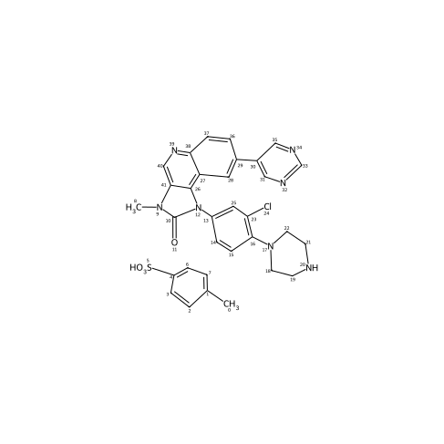 Cc1ccc(S(=O)(=O)O)cc1.Cn1c(=O)n(-c2ccc(N3CCNCC3)c(Cl)c2)c2c3cc(-c4cncnc4)ccc3ncc21